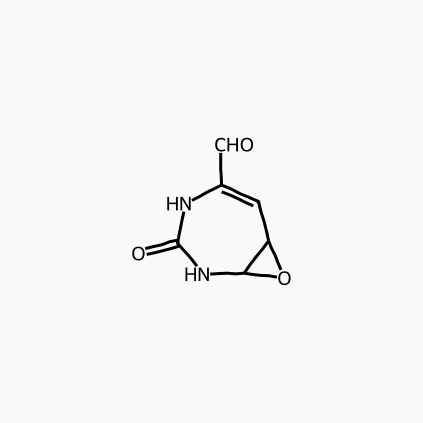 O=CC1=CC2OC2NC(=O)N1